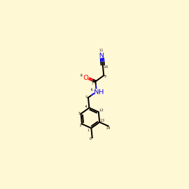 Cc1ccc(CNC(=O)CC#N)cc1C